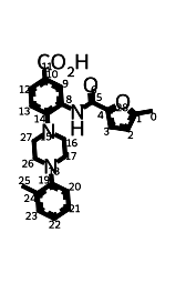 Cc1ccc(C(=O)Nc2cc(C(=O)O)ccc2N2CCN(c3ccccc3C)CC2)o1